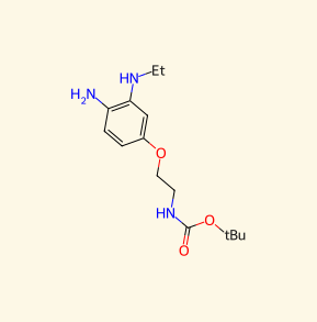 CCNc1cc(OCCNC(=O)OC(C)(C)C)ccc1N